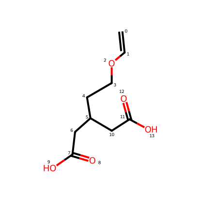 C=COCCC(CC(=O)O)CC(=O)O